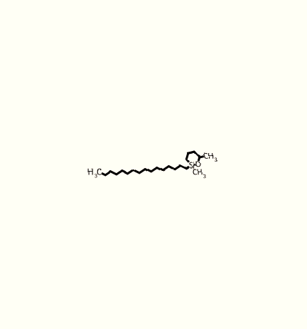 CCCCCCCCCCCCCCCC[Si]1(C)CCCC(C)O1